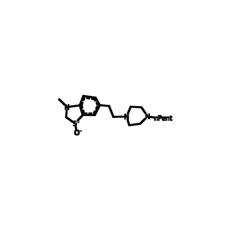 CCCCCN1CCN(CCc2ccc3c(c2)[S+]([O-])CN3C)CC1